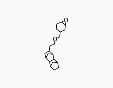 C(CC1CC2CC1C1C3CCC(C3)C21)OCC1CCC2OC2C1